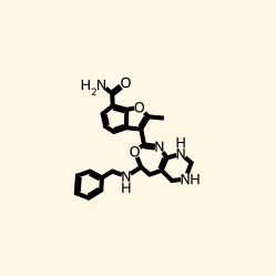 Cc1oc2c(C(N)=O)cccc2c1C1=NC2=C(CNCN2)CC(NCc2ccccc2)O1